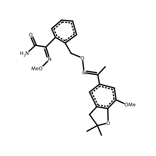 CON=C(C(N)=O)c1ccccc1CON=C(C)c1cc2c(c(OC)c1)OC(C)(C)C2